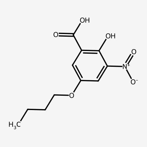 CCCCOc1cc(C(=O)O)c(O)c([N+](=O)[O-])c1